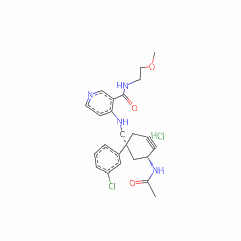 COCCNC(=O)c1cnccc1NC[C@]1(c2cccc(Cl)c2)CC#C[C@@H](NC(C)=O)C1.Cl